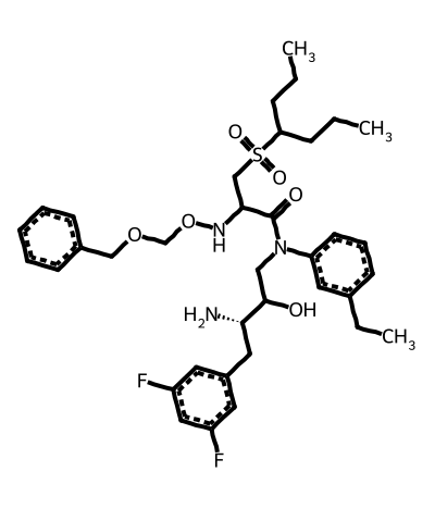 CCCC(CCC)S(=O)(=O)CC(NOCOCc1ccccc1)C(=O)N(CC(O)[C@@H](N)Cc1cc(F)cc(F)c1)c1cccc(CC)c1